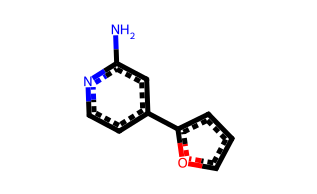 Nc1cc(-c2ccco2)ccn1